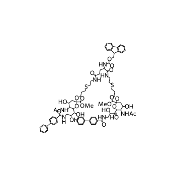 COC(=O)C1(OCCCSCCNC(=O)CCC(NC(=O)OCC2c3ccccc3-c3ccccc32)C(=O)NCCSCCCOC2(C(=O)OC)CC(O)C(NC(C)=O)C([C@H](O)C(O)CNC(=O)c3ccc(-c4ccccc4)cc3)O2)CC(O)C(NC(C)=O)C(C(O)C(O)CNC(=O)c2ccc(-c3ccccc3)cc2)O1